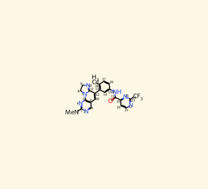 CNc1ncc2c(n1)N1CCN=C1C(c1cc(NC(=O)c3ccnc(C(F)(F)F)n3)ccc1C)=C2